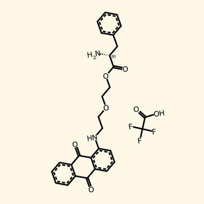 N[C@H](Cc1ccccc1)C(=O)OCCOCCNc1cccc2c1C(=O)c1ccccc1C2=O.O=C(O)C(F)(F)F